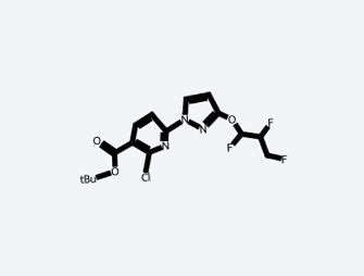 CC(C)(C)OC(=O)c1ccc(-n2ccc(OC(F)C(F)CF)n2)nc1Cl